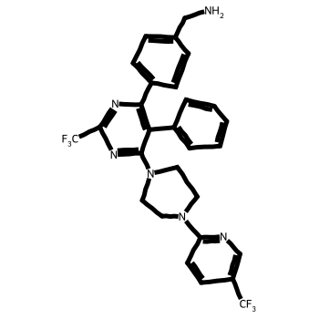 NCc1ccc(-c2nc(C(F)(F)F)nc(N3CCN(c4ccc(C(F)(F)F)cn4)CC3)c2-c2ccccc2)cc1